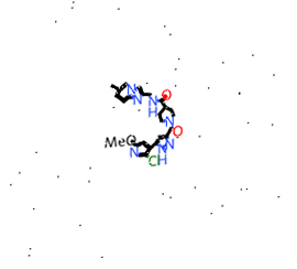 COc1cc(-c2cc(C(=O)N3CCC(C(=O)NCc4cn5cc(C)ccc5n4)CC3)n[nH]2)c(Cl)cn1